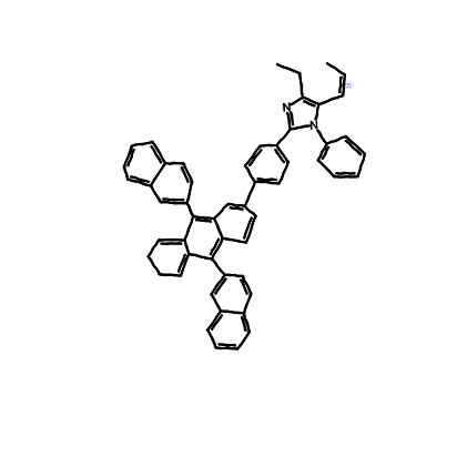 C/C=C\c1c(CC)nc(-c2ccc(-c3ccc4c(-c5ccc6ccccc6c5)c5c(c(-c6ccc7ccccc7c6)c4c3)=CCCC=5)cc2)n1-c1ccccc1